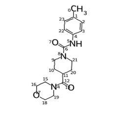 Cc1ccc(NC(=O)N2CCC(C(=O)N3CCOCC3)CC2)cc1